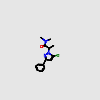 CC(C(=O)N(C)C)n1nc(-c2ccccc2)cc1Cl